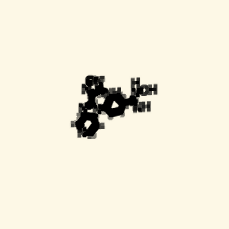 N=C(NO)c1ccc(-n2c(-c3nonc3N)nc3cnccc32)cc1